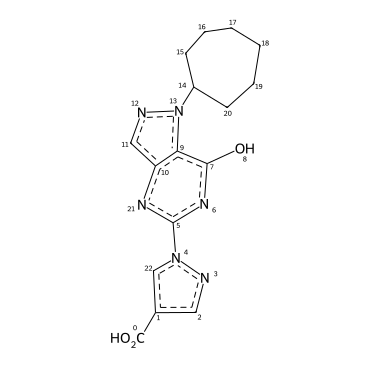 O=C(O)c1cnn(-c2nc(O)c3c(cnn3C3CCCCCC3)n2)c1